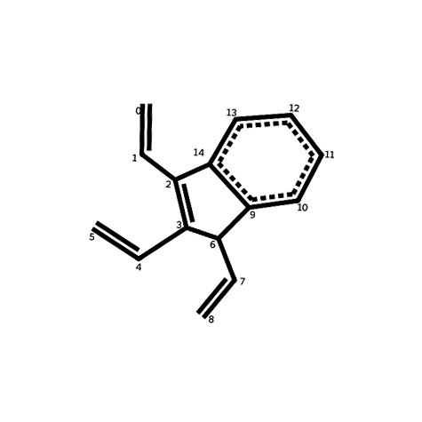 C=CC1=C(C=C)C(C=C)c2ccccc21